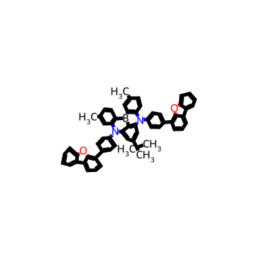 Cc1ccc2c(c1)B1c3ccc(C)cc3N(c3ccc(-c4cccc5c4oc4ccccc45)cc3)c3cc(C(C)(C)C)cc(c31)N2c1ccc(-c2cccc3c2oc2ccccc23)cc1